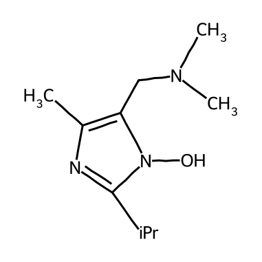 Cc1nc(C(C)C)n(O)c1CN(C)C